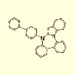 c1ccc(-c2ccc(N3c4ccccc4-c4ccccc4-n4c3cc3ccccc34)cc2)cc1